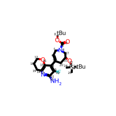 CC(C)(C)OC(=O)N1CC=C(c2c(F)c(N)nc3c2OCCC3)CC(O[Si](C)(C)C(C)(C)C)C1